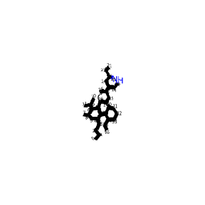 CCCCC1CC(C)C(C(C)C)C(C2CCC(C3=CCNC(CC)C3)CC2)C1C1C(C)CCCC1CC